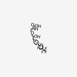 C[C@@H](COCC(O)CN1CCN(c2ncc(C(F)(F)F)cn2)CC1)NC(=O)O